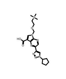 C[Si](C)(C)CCOCn1cc(C(=O)O)c2nc(-c3cn(C4CCCC4)nn3)cnc21